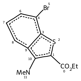 CCOC(=O)c1sc2c(Br)cccc2c1NC